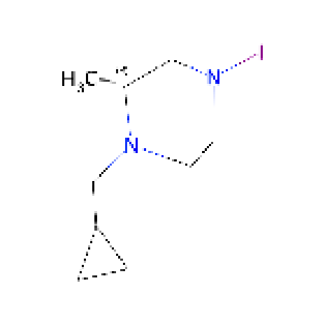 C[C@@H]1CN(I)CCN1CC1CC1